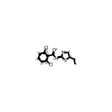 CCC1C[N]C(=NC(=O)c2c(Cl)cccc2Cl)S1